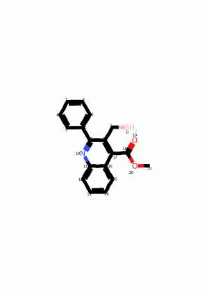 BCc1c(-c2ccccc2)nc2ccccc2c1C(=O)OC